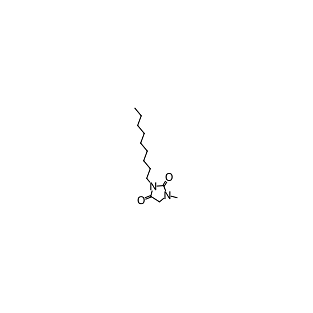 CCCCCCCCCN1C(=O)CN(C)C1=O